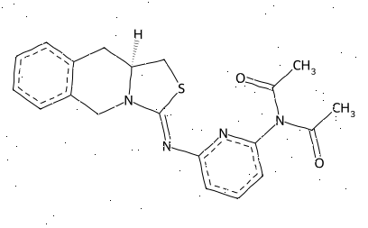 CC(=O)N(C(C)=O)c1cccc(N=C2SC[C@@H]3Cc4ccccc4CN23)n1